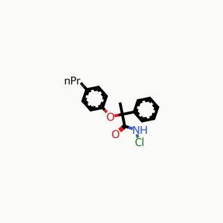 CCCc1ccc(OC(C)(C(=O)NCl)c2ccccc2)cc1